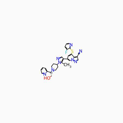 Cc1c(-c2cc(Sc3ncccc3F)c3c(C#N)cnn3c2)cnn1C1CCN([C@H](CO)c2ccccn2)CC1